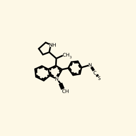 C#Cn1c(-c2ccc(N=C=S)cc2)c(C(C)C2CCCN2)c2ccccc21